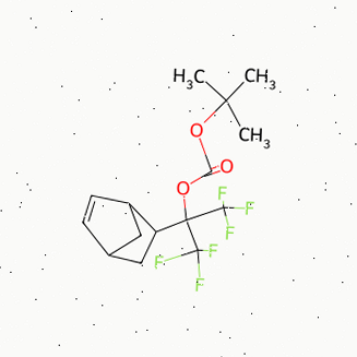 CC(C)(C)OC(=O)OC(C1CC2C=CC1C2)(C(F)(F)F)C(F)(F)F